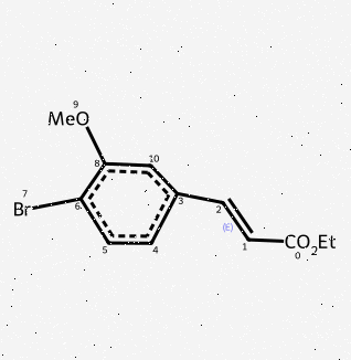 CCOC(=O)/C=C/c1ccc(Br)c(OC)c1